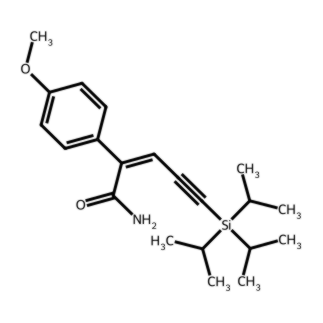 COc1ccc(/C(=C/C#C[Si](C(C)C)(C(C)C)C(C)C)C(N)=O)cc1